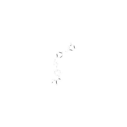 O=C(c1cscn1)N1CCN(C2CN(Cc3ccc(OCc4cccc(Br)n4)cc3)C2)CC1